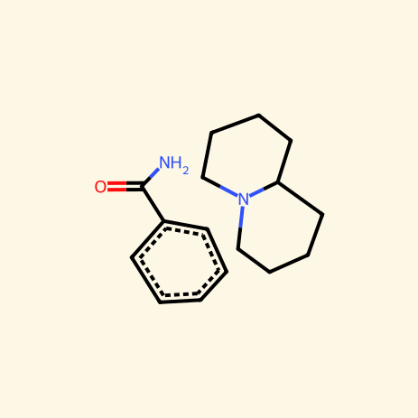 C1CCN2CCCCC2C1.NC(=O)c1ccccc1